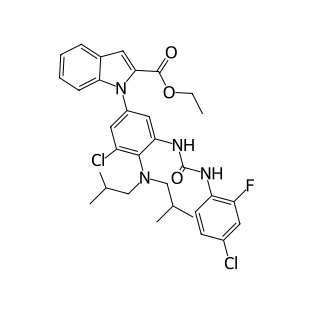 CCOC(=O)c1cc2ccccc2n1-c1cc(Cl)c(N(CC(C)C)CC(C)C)c(NC(=O)Nc2ccc(Cl)cc2F)c1